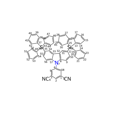 N#Cc1cc(C#N)cc(-n2c3ccc([Si](c4ccccc4)(c4ccccc4)c4ccccc4)cc3c3cc([Si](c4ccccc4)(c4ccccc4)c4ccccc4)ccc32)c1